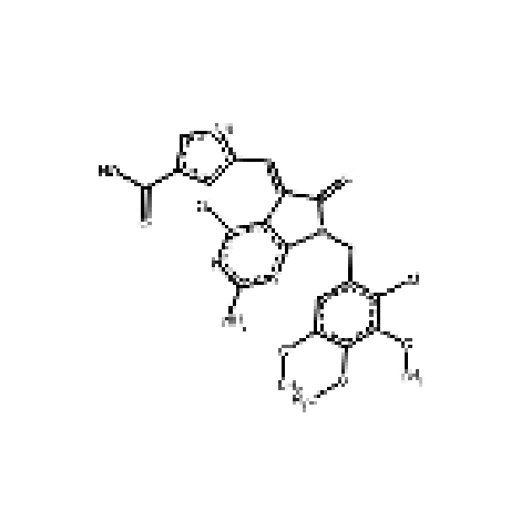 COc1cc(CN2C(=O)/C(=C/c3cc(C(=O)O)c[nH]3)c3c(Cl)nc(N)nc32)c(Cl)c(OC)c1OC